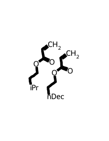 C=CC(=O)OCCC(C)C.C=CC(=O)OCCCCCCCCCCCC